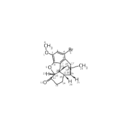 COc1cc(Br)c2c3c1O[C@H]1C(=O)CC[C@H]4[C@@H](C2)N(C)CC[C@]314